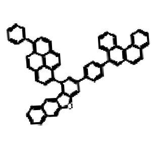 c1ccc(-c2ccc3ccc4c(-c5cc(-c6ccc(-c7cc8ccc9ccccc9c8c8ccccc78)cc6)cc6oc7cc8ccccc8cc7c56)ccc5ccc2c3c54)cc1